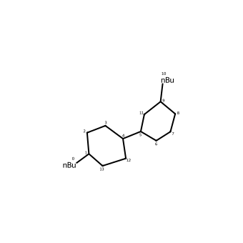 CCCCC1CCC(C2CCCC(CCCC)C2)CC1